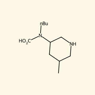 CCCCN(C(=O)O)C1CNCC(C)C1